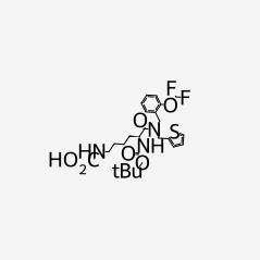 CC(C)(C)OC(=O)N[C@@H](CCCCNC(=O)O)C(=O)N(Cc1cccs1)Cc1ccccc1OC(F)F